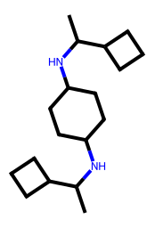 CC(NC1CCC(NC(C)C2CCC2)CC1)C1CCC1